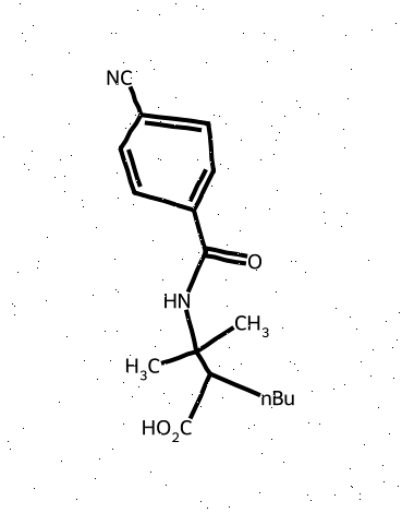 CCCCC(C(=O)O)C(C)(C)NC(=O)c1ccc(C#N)cc1